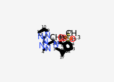 CC(c1ncnn1-c1ncccn1)N(CC1CC1)C(=O)c1ccccc1S(C)(=O)=O